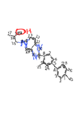 Cc1ccc(-c2ccc(-c3nc4ccn(CC(C)O)cc-4n3)c(C)c2)cc1